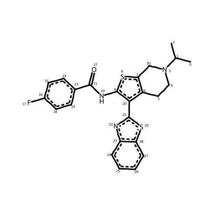 CC(C)N1CCc2c(sc(NC(=O)c3ccc(F)cc3)c2-c2nc3ccccc3s2)C1